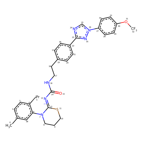 Cc1ccc(C(C)C)c(N2CCCS/C2=N\C(=O)NCCc2ccc(-c3ncn(-c4ccc(OC(F)(F)F)cc4)n3)cc2)c1